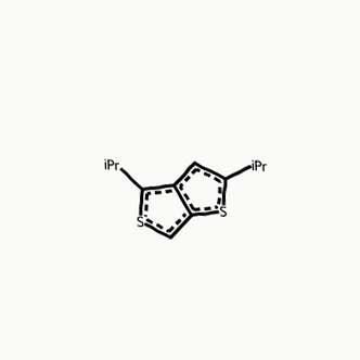 CC(C)c1cc2c(C(C)C)scc2s1